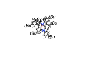 CC(C)(C)c1ccc(N2B3c4c(cc(C(C)(C)C)cc4-n4c5ccc(C(C)(C)C)cc5c5cc(C(C)(C)C)cc3c54)C3=C2C(C)(C)c2ccc(C(C)(C)C)cc23)cc1